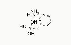 N.N.OC(O)(O)Cc1ccccc1